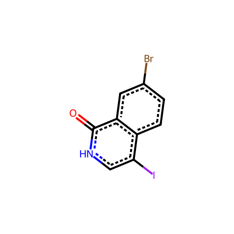 O=c1[nH]cc(I)c2ccc(Br)cc12